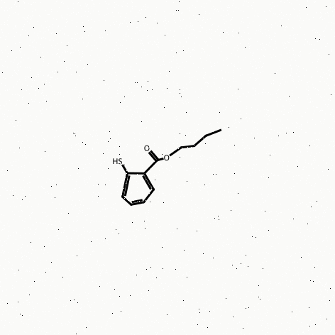 CCCCOC(=O)c1ccccc1S